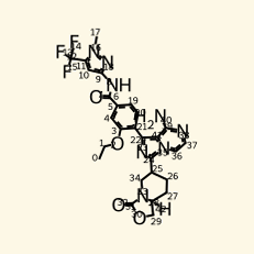 CCOc1cc(C(=O)Nc2cc(C(F)(F)F)n(C)n2)ccc1-c1nc(C2CC[C@@H]3COC(=O)N3C2)n2ccnc(N)c12